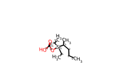 CCCC(C)[Si](CC)(CC)OC(=O)O